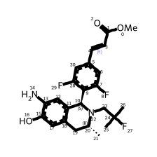 COC(=O)/C=C/c1cc(F)c([C@@H]2c3cc(N)c(O)cc3C[C@@H](C)N2CC(C)(C)F)c(F)c1